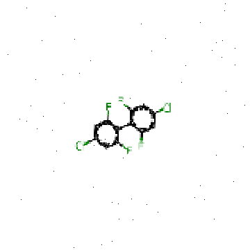 Fc1cc(Cl)cc(F)c1-c1c(F)cc(Cl)cc1F